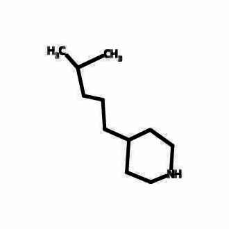 CC(C)CCCC1CCNCC1